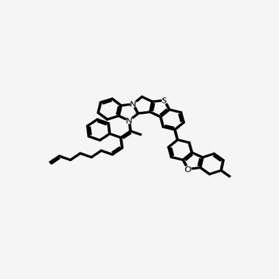 C=CCCCC/C=C\C(=C(/C)N1C2=C(C=CCC2)N2Cc3sc4ccc(C5C=Cc6oc7c(c6C5)C=CC(C)C7)cc4c3C21)C1C=CC=CC1